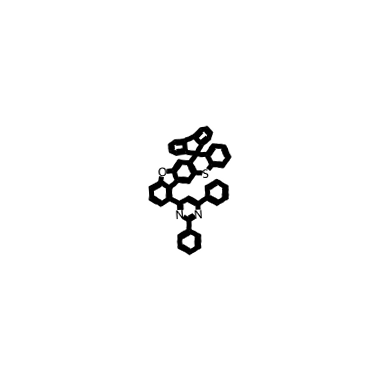 c1ccc(-c2cc(-c3cccc4oc5cc6c(cc5c34)Sc3ccccc3C63c4ccccc4-c4ccccc43)nc(-c3ccccc3)n2)cc1